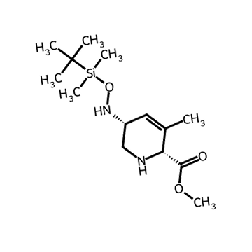 COC(=O)[C@@H]1NC[C@H](NO[Si](C)(C)C(C)(C)C)C=C1C